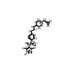 Cc1nn(C)c(C)c1N(C)[S+]([O-])c1ccc(CCCC2CCN(CC3CC3)CC2)cc1